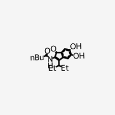 CCCCC(=O)NC1=C(C(CC)CC)c2cc(O)c(O)cc2C1=O